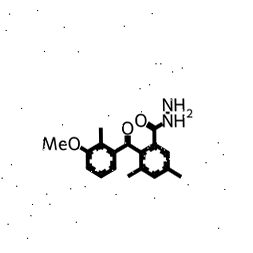 COc1cccc(C(=O)c2c(C)cc(C)cc2C(=O)NN)c1C